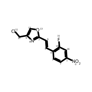 O=[N+]([O-])c1ccc(C=Cc2nc(CCl)co2)c(F)c1